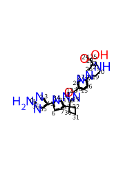 Nc1ncc(-c2ccc(C3(c4noc(-c5ccc(N6CCN[C@H](C(=O)O)C6)nc5)n4)CCC3)cn2)cn1